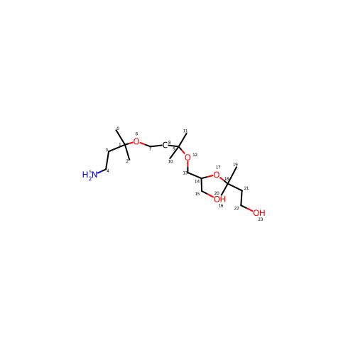 CC(C)(CCN)OCCC(C)(C)OCC(CO)OC(C)(C)CCO